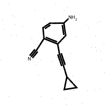 N#Cc1ccc(N)cc1C#CC1CC1